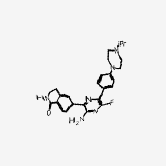 CC(C)N1CCN(c2ccc(-c3nc(C4C=C5CCNC(=O)C5=CC4)c(N)nc3F)cc2)CC1